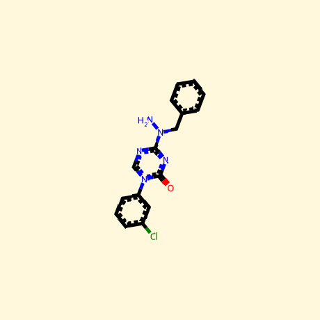 NN(Cc1ccccc1)c1ncn(-c2cccc(Cl)c2)c(=O)n1